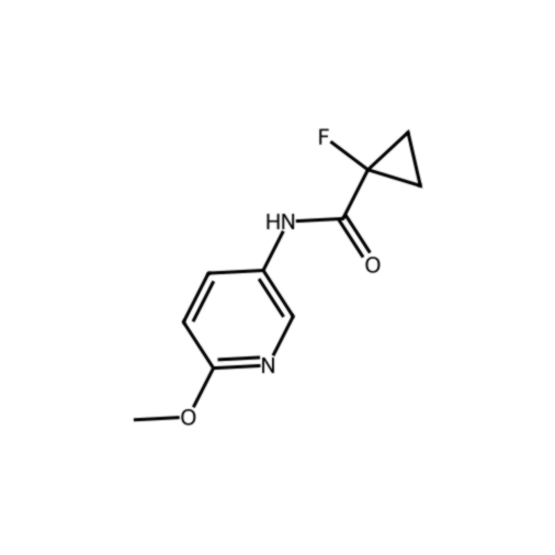 COc1ccc(NC(=O)C2(F)CC2)cn1